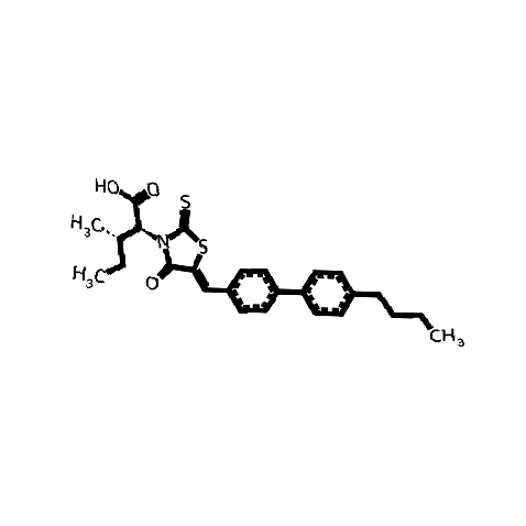 CCCCc1ccc(-c2ccc(/C=C3\SC(=S)N([C@H](C(=O)O)[C@@H](C)CC)C3=O)cc2)cc1